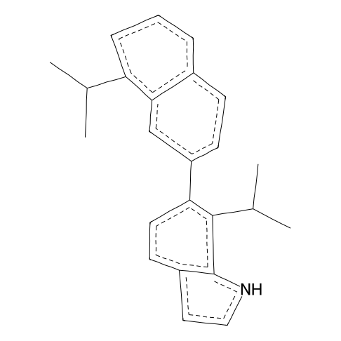 CC(C)c1cccc2ccc(-c3ccc4cc[nH]c4c3C(C)C)cc12